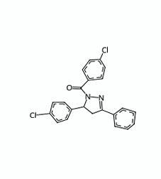 O=C(c1ccc(Cl)cc1)N1N=C(c2ccccc2)CC1c1ccc(Cl)cc1